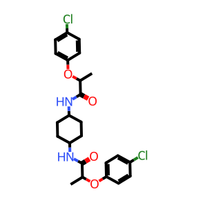 CC(Oc1ccc(Cl)cc1)C(=O)NC1CCC(NC(=O)C(C)Oc2ccc(Cl)cc2)CC1